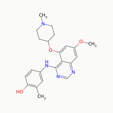 COc1cc(OC2CCN(C)CC2)c2c(Nc3ccc(O)c(C)c3)ncnc2c1